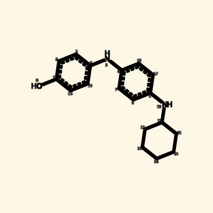 Oc1ccc(Nc2ccc(NC3CCCCC3)cc2)cc1